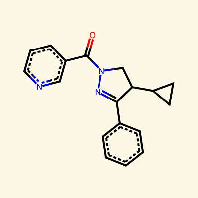 O=C(c1cccnc1)N1CC(C2CC2)C(c2ccccc2)=N1